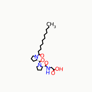 CCCCCCCCCCCC(=O)N1CCC[C@H]1C(=O)N1CCC[C@H]1C(=O)NCC(=O)O